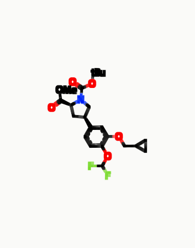 COC(=O)[C@@H]1C[C@H](c2ccc(OC(F)F)c(OCC3CC3)c2)CN1C(=O)OC(C)(C)C